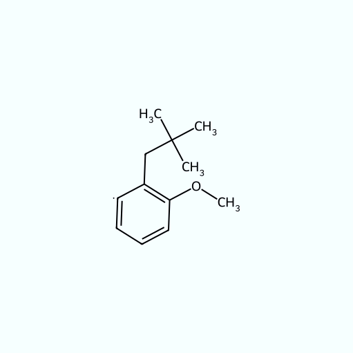 COc1ccc[c]c1CC(C)(C)C